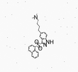 CN(C)CCCCc1ccc2[nH]nc(S(=O)(=O)c3cccc4ccccc34)c2c1